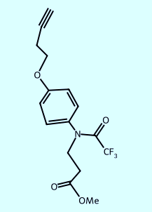 C#CCCOc1ccc(N(CCC(=O)OC)C(=O)C(F)(F)F)cc1